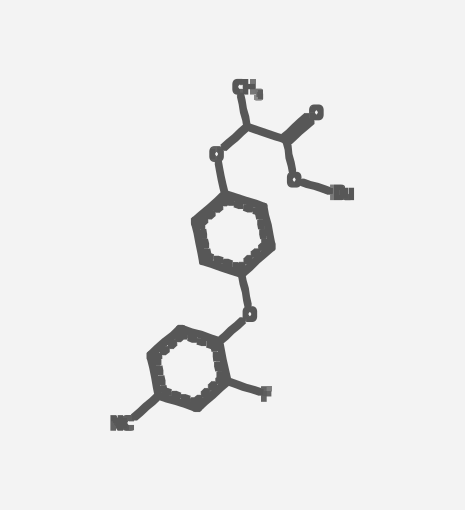 CCC(C)OC(=O)C(C)Oc1ccc(Oc2ccc(C#N)cc2F)cc1